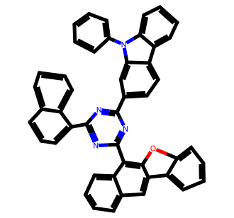 c1ccc(-n2c3ccccc3c3ccc(-c4nc(-c5cccc6ccccc56)nc(-c5c6ccccc6cc6c5oc5ccccc56)n4)cc32)cc1